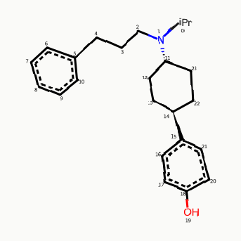 CC(C)N(CCCc1ccccc1)[C@H]1CC[C@H](c2ccc(O)cc2)CC1